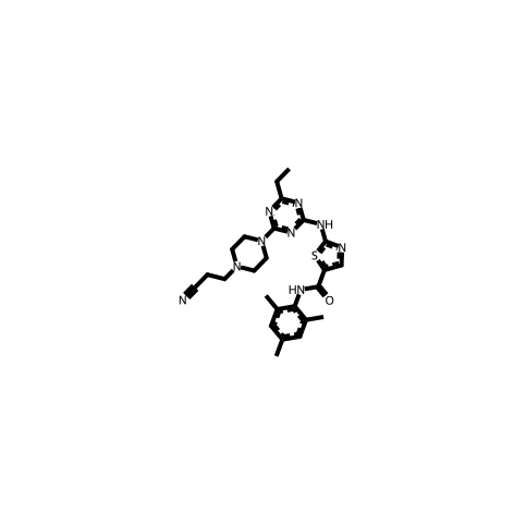 CCc1nc(Nc2ncc(C(=O)Nc3c(C)cc(C)cc3C)s2)nc(N2CCN(CCC#N)CC2)n1